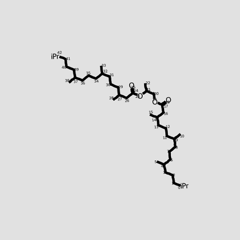 CC(C)CCCC(C)CCCC(C)CCCC(C)CC(=O)O[CH]C(C)OC(=O)CC(C)CCCC(C)CCCC(C)CCCC(C)C